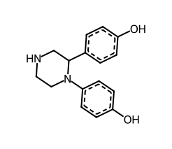 Oc1ccc(C2CNCCN2c2ccc(O)cc2)cc1